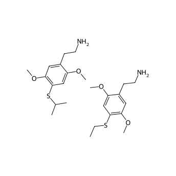 CCSc1cc(OC)c(CCN)cc1OC.COc1cc(SC(C)C)c(OC)cc1CCN